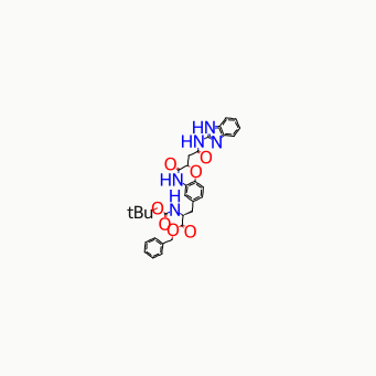 CC(C)(C)OC(=O)N[C@@H](Cc1ccc2c(c1)NC(=O)C(CC(=O)Nc1nc3ccccc3[nH]1)O2)C(=O)OCc1ccccc1